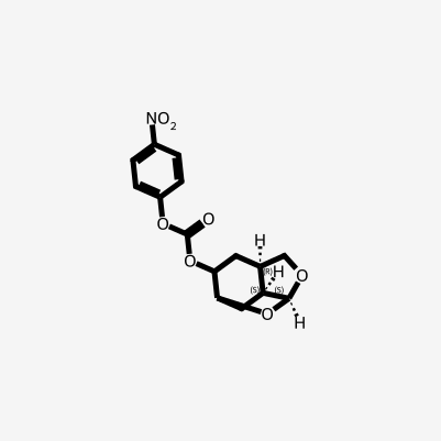 O=C(Oc1ccc([N+](=O)[O-])cc1)OC1C[C@H]2CO[C@H]3OC1C[C@@H]23